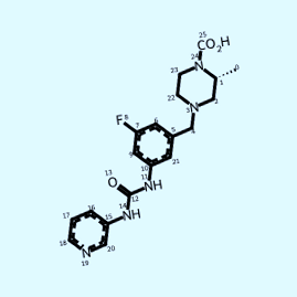 C[C@@H]1CN(Cc2cc(F)cc(NC(=O)Nc3cccnc3)c2)CCN1C(=O)O